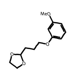 COc1cccc(OCCCC2OCCO2)c1